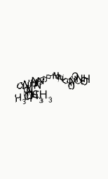 C[C@@H]1Cc2c([nH]c3ccccc23)[C@@H](c2cnc(N3CCC4(CC3)CC(CN3CCN(c5ccc6c(c5)CN(C5CCC(=O)NC5=O)C6=O)CC3)C4)nc2)N1CC(C)(C)F